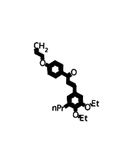 C=CCOc1ccc(C(=O)/C=C/c2cc(CCC)c(OCC)c(OCC)c2)cc1